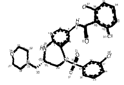 O=C(Nc1cnc2c(c1)N(S(=O)(=O)c1cccc(Cl)c1)C[C@H](CN1CCOCC1)N2)c1c(Cl)cccc1Cl